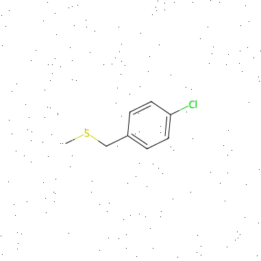 CSCc1ccc(Cl)cc1